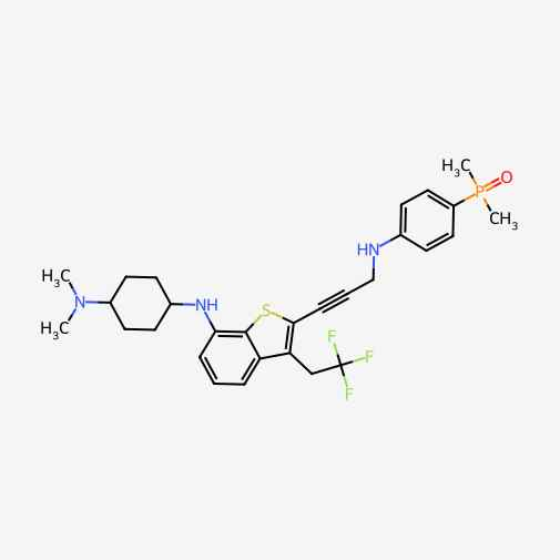 CN(C)C1CCC(Nc2cccc3c(CC(F)(F)F)c(C#CCNc4ccc(P(C)(C)=O)cc4)sc23)CC1